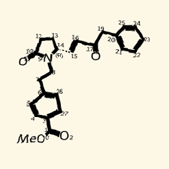 COC(=O)c1ccc(CCN2C(=O)CC[C@@H]2C=CC(=O)Cc2ccccc2)cc1